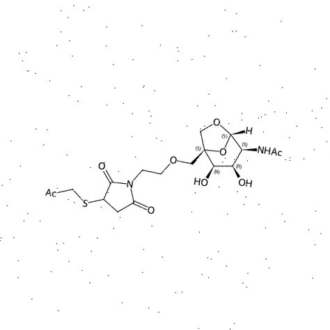 CC(=O)CSC1CC(=O)N(CCOC[C@@]23CO[C@@H](O2)[C@@H](NC(C)=O)[C@@H](O)[C@H]3O)C1=O